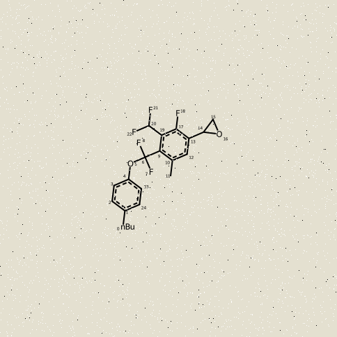 CCCCc1ccc(OC(F)(F)c2c(C)cc(C3CO3)c(F)c2C(F)F)cc1